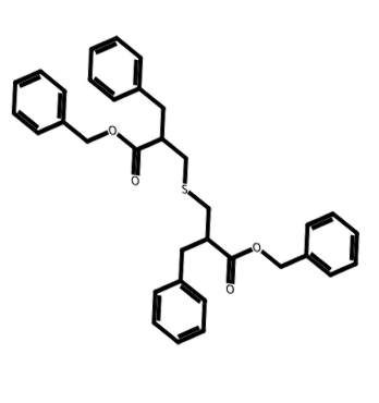 O=C(OCc1ccccc1)C(CSCC(Cc1ccccc1)C(=O)OCc1ccccc1)Cc1ccccc1